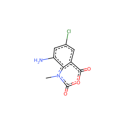 Cn1c(=O)oc(=O)c2cc(Cl)cc(N)c21